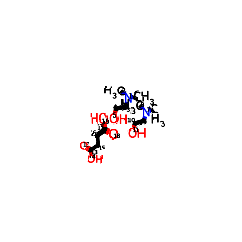 CN(C)CCO.CN(C)CCO.O=C(O)CCC(=O)O